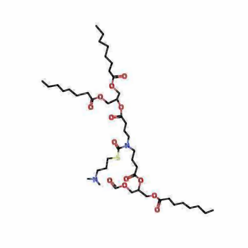 CCCCCCCC(=O)OCC(COC=O)OC(=O)CCCN(CCCC(=O)OC(COC(=O)CCCCCCC)COC(=O)CCCCCCC)C(=O)SCCCN(C)C